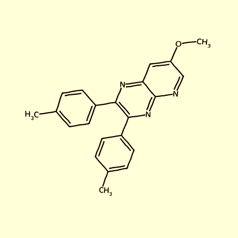 COc1cnc2nc(-c3ccc(C)cc3)c(-c3ccc(C)cc3)nc2c1